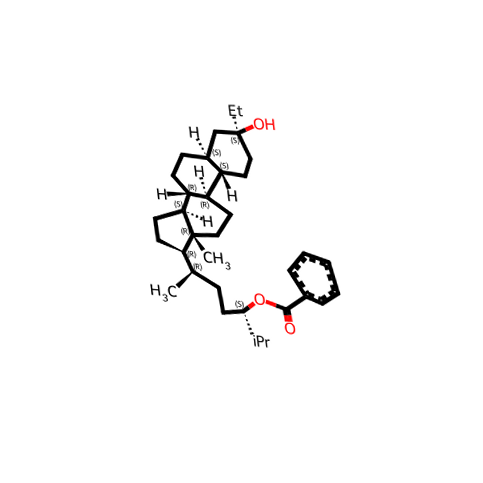 CC[C@]1(O)CC[C@H]2[C@@H](CC[C@@H]3[C@@H]2CC[C@]2(C)[C@@H]([C@H](C)CC[C@H](OC(=O)c4ccccc4)C(C)C)CC[C@@H]32)C1